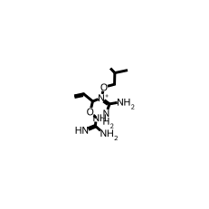 C=CC(ONC(=N)N)[N+](OCC(C)C)=C(N)N